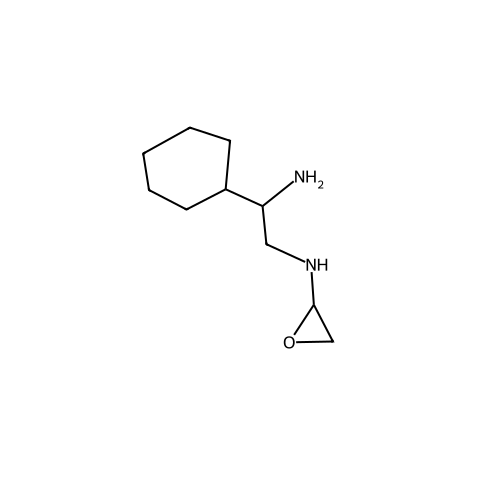 NC(CNC1CO1)C1CCCCC1